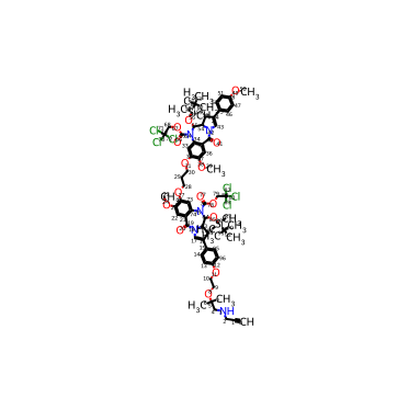 C#CCNCC(C)(C)OCCOc1ccc(C2=CN3C(=O)c4cc(OC)c(OCCCOc5cc6c(cc5OC)C(=O)N5C=C(c7ccc(OC)cc7)CC5C(O[Si](C)(C)C(C)(C)C)N6C(=O)OCC(Cl)(Cl)Cl)cc4N(C(=O)OCC(Cl)(Cl)Cl)C(O[Si](C)(C)C(C)(C)C)C3C2)cc1